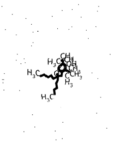 CCCCCCC1(CCCCCC)Cc2c(cc(C(C)(C)C)c(O)c2C(C)(C)C)O1